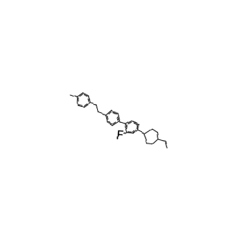 CCC1CCC(c2ccc(-c3ccc(CCc4ccc(C)cc4)cc3)c(F)c2)CC1